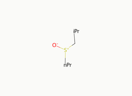 CCC[S+]([O-])CC(C)C